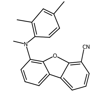 Cc1ccc(N(C)c2cccc3c2oc2c(C#N)cccc23)c(C)c1